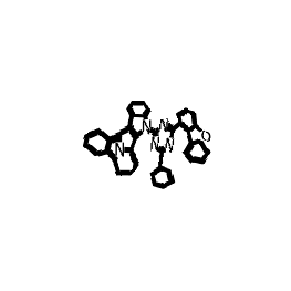 c1ccc(-c2nc(-c3cccc4oc5ccccc5c34)nc(-n3c4ccccc4c4c3c3cccc5c6ccccc6c4n53)n2)cc1